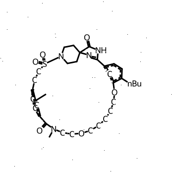 CCCCc1ccc2cc1OCCCCCOCCN(C)C(=O)c1ccc(c(C)c1)CCS(=O)(=O)N1CCC3(CC1)N=C2NC3=O